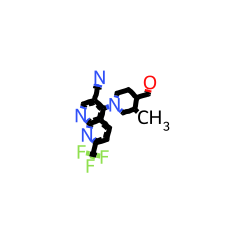 CC1CN(c2c(C#N)cnc3nc(C(F)(F)F)ccc23)CCC1C=O